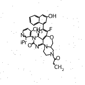 C=CC(=O)N1CCN2c3nc(=O)n(-c4c(C)ccnc4C(C)C)c4nc(-c5cc(O)cc6ccccc56)c(F)c(c34)OCC2C1